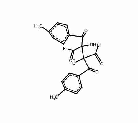 Cc1ccc(C(=O)C(O)(C(=O)Br)C(O)(C(=O)Br)C(=O)c2ccc(C)cc2)cc1